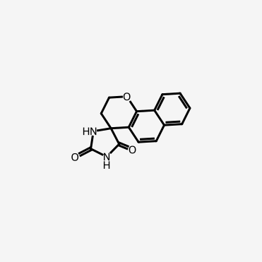 O=C1NC(=O)C2(CCOc3c2ccc2ccccc32)N1